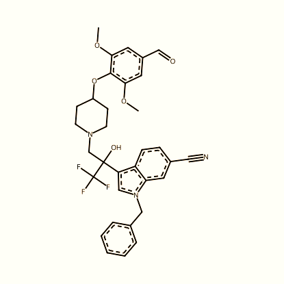 COc1cc(C=O)cc(OC)c1OC1CCN(CC(O)(c2cn(Cc3ccccc3)c3cc(C#N)ccc23)C(F)(F)F)CC1